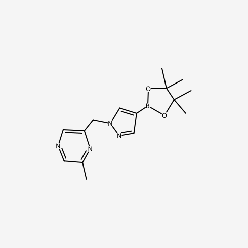 Cc1cncc(Cn2cc(B3OC(C)(C)C(C)(C)O3)cn2)n1